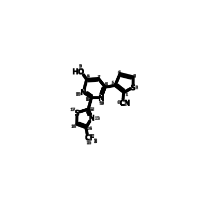 N#Cc1sccc1-c1cc(O)nc(-c2nc(C(F)(F)F)cs2)n1